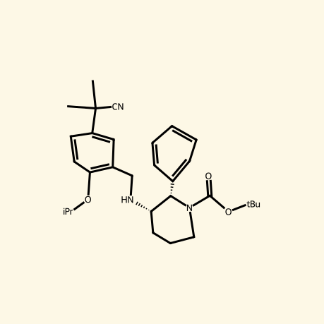 CC(C)Oc1ccc(C(C)(C)C#N)cc1CN[C@H]1CCCN(C(=O)OC(C)(C)C)[C@H]1c1ccccc1